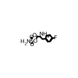 N[C@@H](Cc1ccc(F)cc1)C(=O)OS(N)(=O)=O